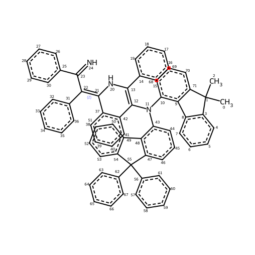 CC1(C)c2ccccc2-c2c(N(C3=C(c4ccccc4)N/C(=C(\C(=N)c4ccccc4)c4ccccc4)c4ccccc43)c3cccc4c3-c3ccccc3C4(c3ccccc3)c3ccccc3)cccc21